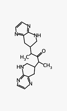 CC(C(=O)C(C)C1CNc2nccnc2C1)C1CNc2nccnc2C1